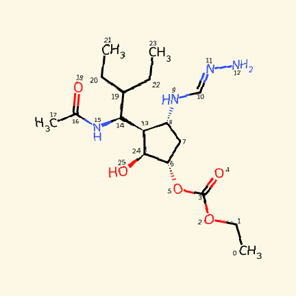 CCOC(=O)O[C@H]1C[C@@H](NC=NN)[C@H]([C@@H](NC(C)=O)C(CC)CC)[C@@H]1O